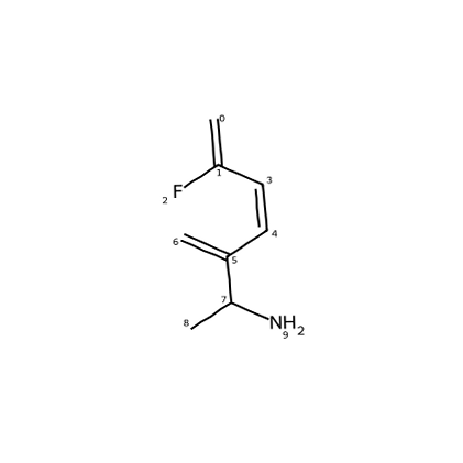 C=C(F)/C=C\C(=C)C(C)N